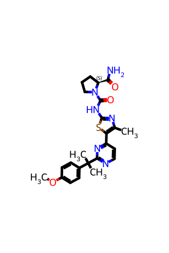 COc1ccc(C(C)(C)c2nccc(-c3sc(NC(=O)N4CCC[C@H]4C(N)=O)nc3C)n2)cc1